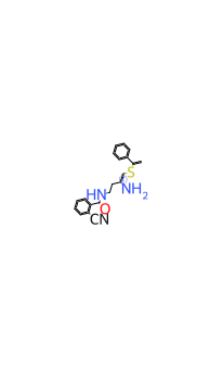 C=C(S/C=C(\N)CCNC(=O)c1ccccc1C#N)c1ccccc1